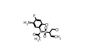 C=CC(CCl)S(=O)(=O)N(C(C)=O)c1cc(N)c(F)cc1Cl